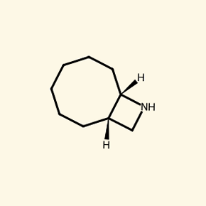 C1CCC[C@@H]2NC[C@@H]2CC1